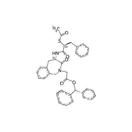 CC(=O)S[C@@H](Cc1ccccc1)C(=O)N[C@H]1Cc2ccccc2CN(CC(=O)OC(c2ccccc2)c2ccccc2)C1=O